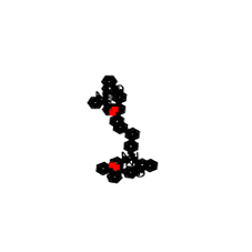 C1=CC(c2nc(C3=CCC(c4ccccc4)C=C3)nc(-c3cc4ccccc4c4oc5ccc(-c6cccc7ccccc67)cc5c34)n2)CC=C1c1cccc(-c2ccc3ccc(-c4ccc(-c5ccc6oc7c8ccccc8cc(-c8nc(-c9ccccc9)c9ccccc9n8)c7c6c5)cc4)cc3c2)c1